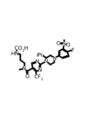 CC(C)C1CN(c2ccc(F)c(S(C)(=O)=O)c2)CCN1c1ncc(C(=O)N(C)CCCNC(=O)O)c(C(F)(F)F)n1